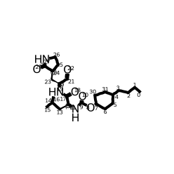 CCCCC1CCC(OC(=O)N[C@@H](CC(C)C)C(=O)N[C@H](C=O)C[C@@H]2CCNC2=O)CC1